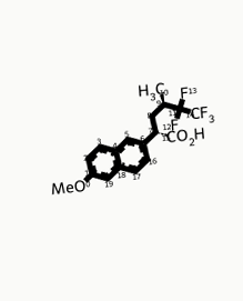 COc1ccc2cc([C@H](C[C@@H](C)C(F)(F)C(F)(F)F)C(=O)O)ccc2c1